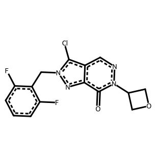 O=c1c2nn(Cc3c(F)cccc3F)c(Cl)c2cnn1C1COC1